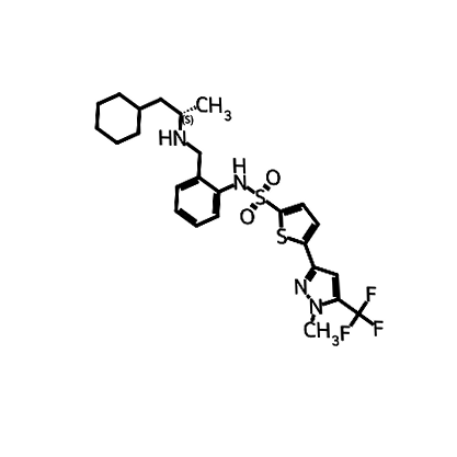 C[C@@H](CC1CCCCC1)NCc1ccccc1NS(=O)(=O)c1ccc(-c2cc(C(F)(F)F)n(C)n2)s1